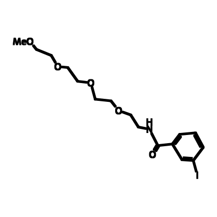 COCCOCCOCCOCCNC(=O)c1cccc(I)c1